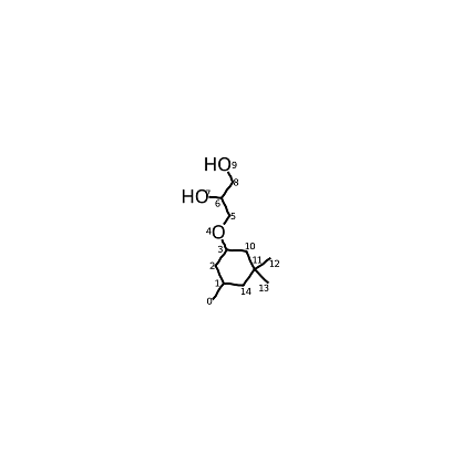 CC1CC(OCC(O)CO)CC(C)(C)C1